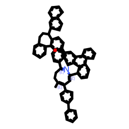 C/C1=C(c2ccc(-c3ccccc3)cc2)/C=C(c2cccc3c4ccccc4c4cc(-c5ccc6c(c5)-c5ccccc5CCC6c5ccc6ccccc6c5)ccc4c23)\N=C(\c2ccccc2)CC1